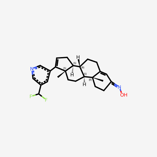 C[C@]12CCC(=NO)C=C1CC[C@@H]1[C@@H]2CC[C@]2(C)C(c3cncc(C(F)F)c3)=CC[C@@H]12